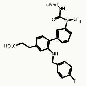 CCCCCNC(=O)N(C)c1cccc(-c2ccc(CCC(=O)O)cc2NCc2ccc(F)cc2)c1